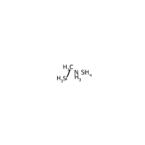 C[SiH3].N.[SiH4]